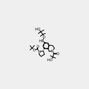 CC(C)(C)OC(=O)N1CCC[C@H]1c1cc(BOC(C)(C)C(C)(C)O)cc2c1CN(C(=O)C(C)(C)O)CC2